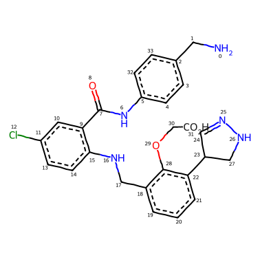 NCc1ccc(NC(=O)c2cc(Cl)ccc2NCc2cccc(C3C=NNC3)c2OCC(=O)O)cc1